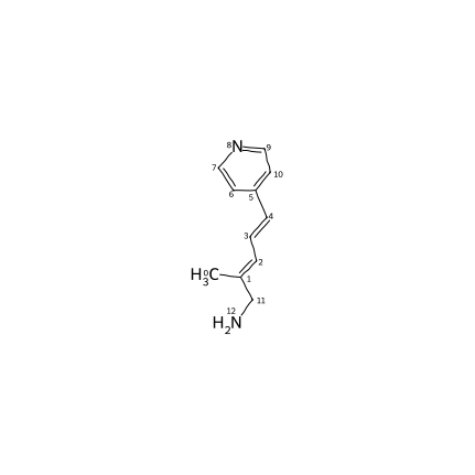 C/C(=C\C=C\c1ccncc1)CN